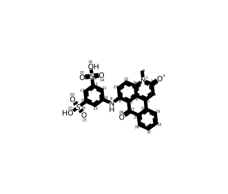 Cn1c(=O)cc2c3c(c(Nc4cc(S(=O)(=O)O)cc(S(=O)(=O)O)c4)ccc31)C(=O)c1ccccc1-2